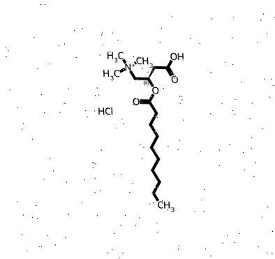 CCCCCCCCCC(=O)O[C@H](CC(=O)O)C[N+](C)(C)C.Cl